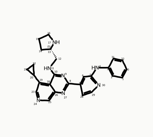 c1ccc(Nc2cc(-c3nc(NC[C@@H]4CCCN4)c4c(C5CC5)cncc4n3)ccn2)cc1